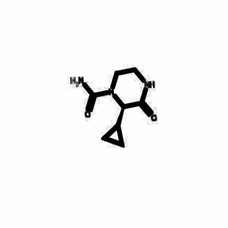 NC(=O)N1CCNC(=O)[C@H]1C1CC1